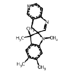 Cc1cc2c(cc1C)C(C)(C)C1(C=Nc3ccncc3C1)N2C